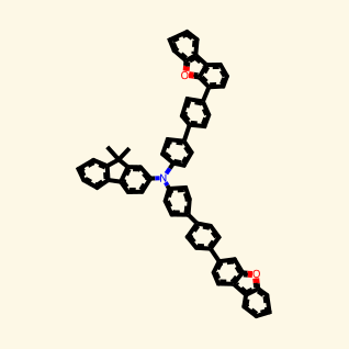 CC1(C)c2ccccc2-c2ccc(N(c3ccc(-c4ccc(-c5ccc6c(c5)oc5ccccc56)cc4)cc3)c3ccc(-c4ccc(-c5cccc6c5oc5ccccc56)cc4)cc3)cc21